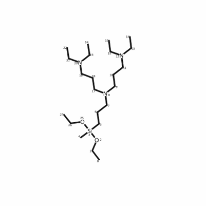 CCO[Si](C)(CCCN(CCCN(CC)CC)CCCN(CC)CC)OCC